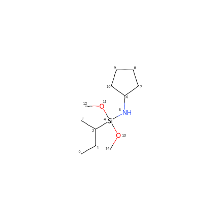 CCC(C)[Si](NC1CCCC1)(OC)OC